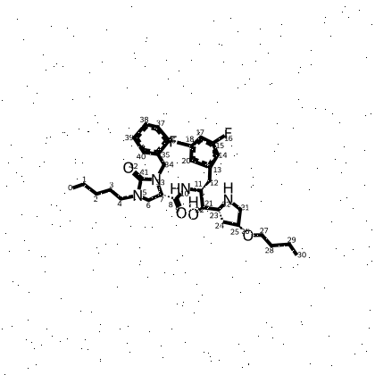 CCCCCN1C[C@@H](C(=O)N[C@@H](Cc2cc(F)cc(F)c2)[C@H](O)[C@H]2C[C@@H](OCCCC)CN2)N(Cc2ccccc2)C1=O